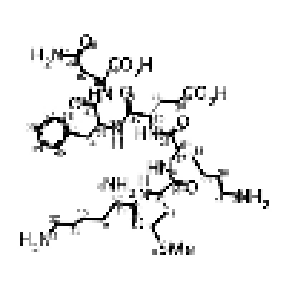 CSCC[C@H](NC(=O)[C@@H](N)CCCCN)C(=O)N[C@@H](CCCCN)C(=O)N[C@@H](CCC(=O)O)C(=O)N[C@@H](Cc1ccccc1)C(=O)N[C@@H](CC(N)=O)C(=O)O